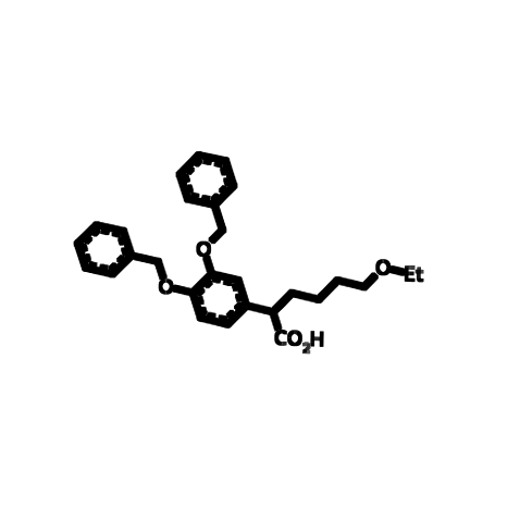 CCOCCCCC(C(=O)O)c1ccc(OCc2ccccc2)c(OCc2ccccc2)c1